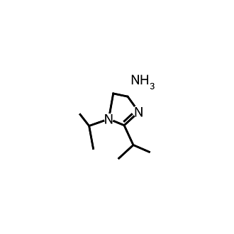 CC(C)C1=NCCN1C(C)C.N